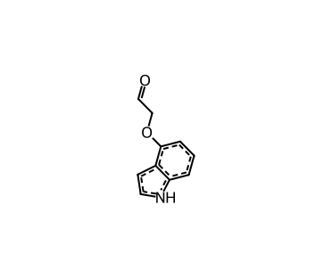 O=CCOc1cccc2[nH]ccc12